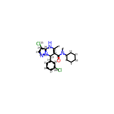 CC1=C(C(=O)N(C)C2CCCCC2)C(c2cccc(Cl)c2)n2ncc(Cl)c2N1